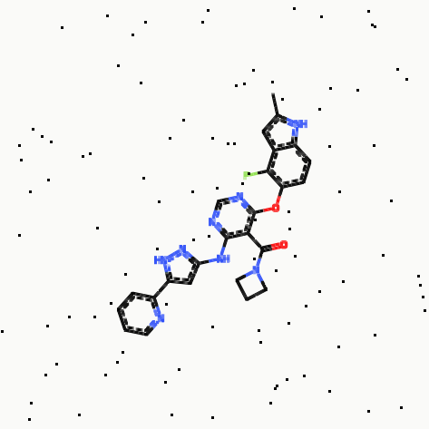 Cc1cc2c(F)c(Oc3ncnc(Nc4cc(-c5ccccn5)[nH]n4)c3C(=O)N3CCC3)ccc2[nH]1